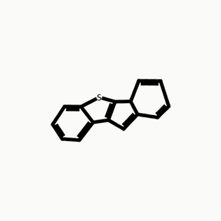 C1=CC2=Cc3c(sc4ccccc34)C2C=C1